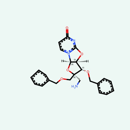 NC[C@]1(COCc2ccccc2)O[C@@H]2[C@@H](Oc3nc(=O)ccn32)[C@@H]1OCc1ccccc1